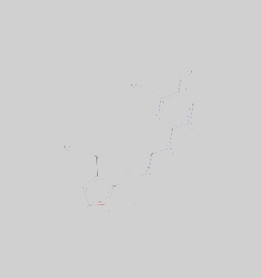 COC(=O)c1ccoc1S(=O)(=O)NC(=O)Nc1ncc(OC)c(OC)n1